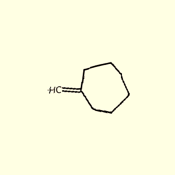 [CH]=C1CCCCCC1